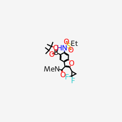 CCS(=O)(=O)Nc1cc2oc(C3CC3(F)F)c(C(=O)NC)c2cc1B1OC(C)(C)C(C)(C)O1